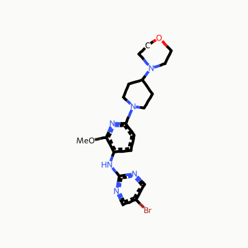 COc1nc(N2CCC(N3CCOCC3)CC2)ccc1Nc1ncc(Br)cn1